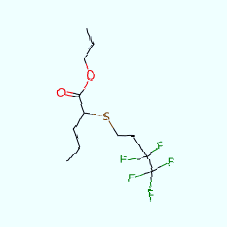 CCCOC(=O)C(CCC)SCCC(F)(F)C(F)(F)F